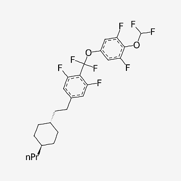 CCC[C@H]1CC[C@H](CCc2cc(F)c(C(F)(F)Oc3cc(F)c(OC(F)F)c(F)c3)c(F)c2)CC1